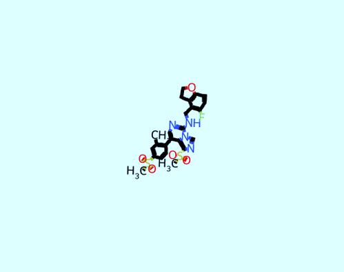 Cc1cc(S(C)(=O)=O)ccc1-c1cnc(NCc2c(F)ccc3c2CCO3)n2cnc(S(C)(=O)=O)c12